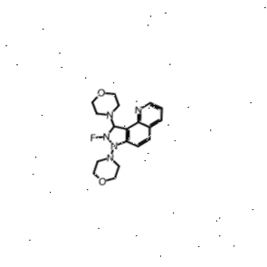 FN1C(N2CCOCC2)c2c(ccc3cccnc23)N1N1CCOCC1